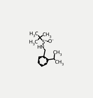 CC(C)c1ccccc1CN[S+]([O-])C(C)(C)C